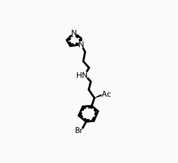 CC(=O)[C@H](CCNCCCn1ccnc1)c1ccc(Br)cc1